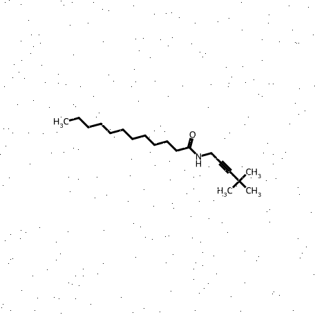 CCCCCCCCCCCC(=O)NCC#CC(C)(C)C